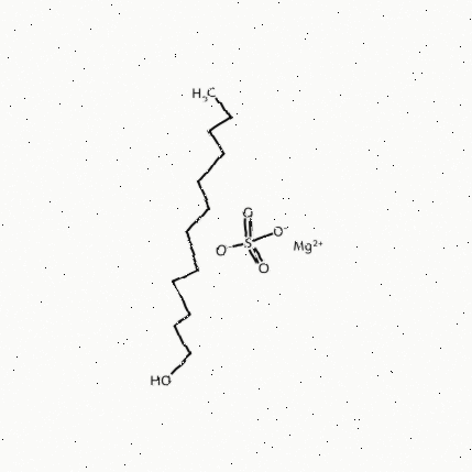 CCCCCCCCCCCCO.O=S(=O)([O-])[O-].[Mg+2]